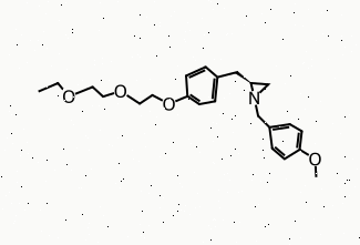 CCOCCOCCOc1ccc(C[C@H]2CN2Cc2ccc(OC)cc2)cc1